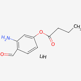 CCCC(=O)Oc1ccc(C=O)c(N)c1.[LiH]